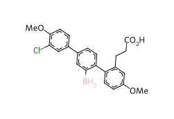 Bc1cc(-c2ccc(OC)c(Cl)c2)ccc1-c1ccc(OC)cc1CCC(=O)O